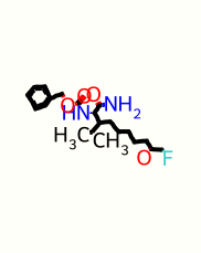 CC(C)C(CCCCCC(=O)CF)[C@H](NC(=O)OCc1ccccc1)C(N)=O